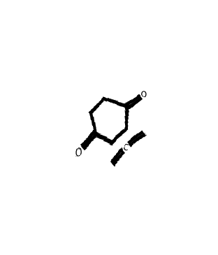 C=C=C.O=C1CCC(=O)CC1